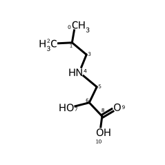 CC(C)CNCC(O)C(=O)O